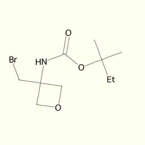 CCC(C)(C)OC(=O)NC1(CBr)COC1